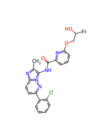 CCC(O)COc1cccc(C(=O)Nc2c(C)nc3ccc(-c4ccccc4Cl)nn23)n1